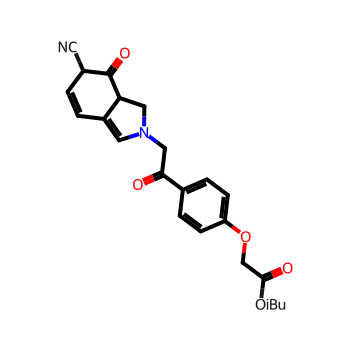 CC(C)COC(=O)COc1ccc(C(=O)CN2C=C3C=CC(C#N)C(=O)C3C2)cc1